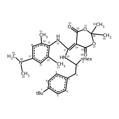 CCCCCCC(Cc1ccc(C(C)(C)C)cc1)NC(Nc1c(C)cc(N(C)C)cc1C)=C1C(=O)OC(C)(C)OC1=O